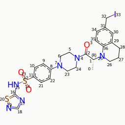 C[C@H](C(=O)N1CCN(c2ccc(S(=O)(=O)Nc3ncns3)cc2)CC1)N1CCCc2cc(CI)ccc21